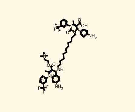 CC1=C(C(=O)O)[C@@H](c2ccc(N)cc2)N(CCCCCCCCCCCCN[C@@H](/C(C(=O)OCC[N+](C)(C)C)=C(/C)Nc2cccc(C(F)(F)F)c2)c2ccc(N)cc2)C(=O)N1c1cccc(C(F)(F)F)c1